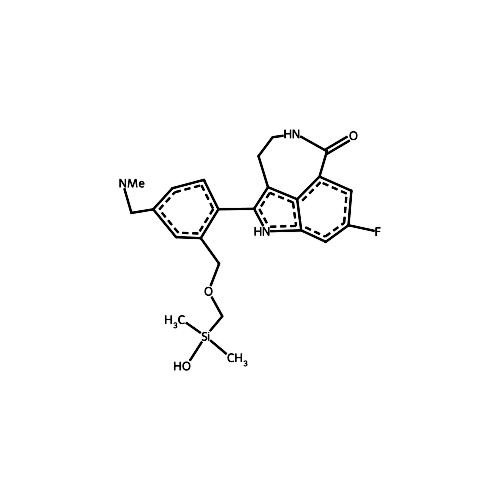 CNCc1ccc(-c2[nH]c3cc(F)cc4c3c2CCNC4=O)c(COC[Si](C)(C)O)c1